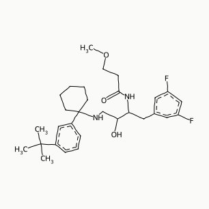 COCCC(=O)NC(Cc1cc(F)cc(F)c1)C(O)CNC1(c2cccc(C(C)(C)C)c2)CCCCC1